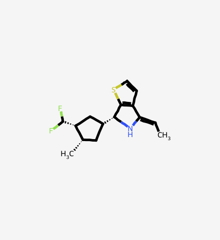 C/C=C1\N[C@H](C2C[C@H](C)[C@H](C(F)F)C2)c2sccc21